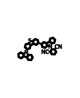 N#Cc1cccc(C#N)c1-n1c2ccccc2c2cc(-c3ccc4sc5ccc(-n6c7ccccc7c7ccccc76)cc5c4c3)ccc21